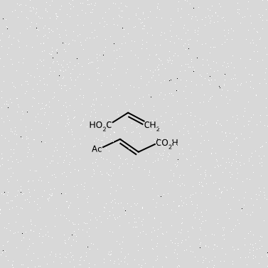 C=CC(=O)O.CC(=O)C=CC(=O)O